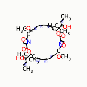 C/C=C/[C@H](O)C(C)(C)C1C\C=C/C=C\C=C\[C@H](OC)Cc2nc(co2)C(=O)OC(C(C)(C)[C@@H](O)/C=C/C)C\C=C/C=C\C=C\C(OC)Cc2nc(co2)C(=O)O1